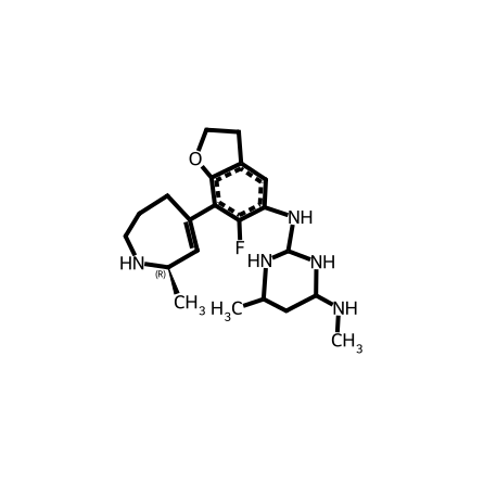 CNC1CC(C)NC(Nc2cc3c(c(C4=C[C@@H](C)NCCC4)c2F)OCC3)N1